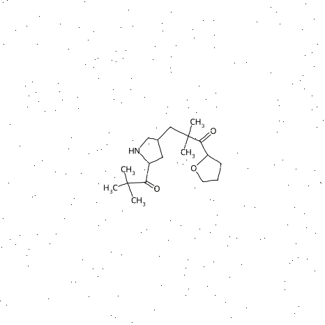 CC(C)(C)C(=O)C1CC(CC(C)(C)C(=O)C2CCCO2)CN1